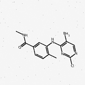 Bc1cnc(Cl)nc1Nc1cc(C(=O)NC)ccc1C